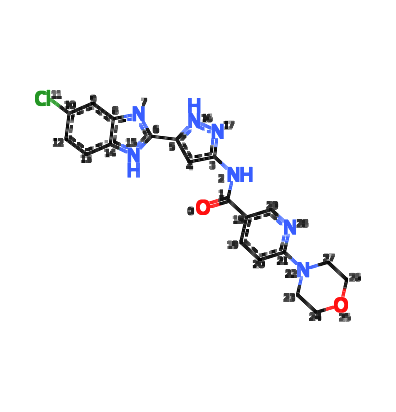 O=C(Nc1cc(-c2nc3cc(Cl)ccc3[nH]2)[nH]n1)c1ccc(N2CCOCC2)nc1